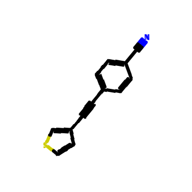 N#Cc1ccc(C#Cc2ccsc2)cc1